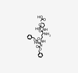 N[C@H](CCCN/C(=N/C(=O)OCc1ccccc1)NC(=O)OCc1ccccc1)C(=O)N[C@H]1CC[C@@H](CC(=O)O)OB1O